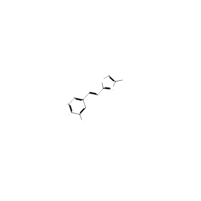 O=Cc1csc(C=Cc2cccc(C(F)(F)F)c2)n1